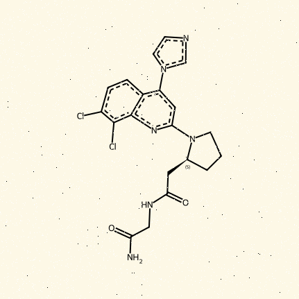 NC(=O)CNC(=O)C[C@@H]1CCCN1c1cc(-n2ccnc2)c2ccc(Cl)c(Cl)c2n1